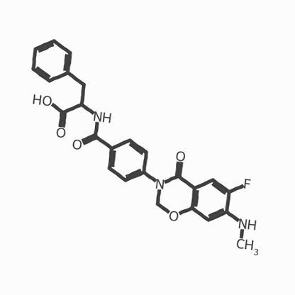 CNc1cc2c(cc1F)C(=O)N(c1ccc(C(=O)NC(Cc3ccccc3)C(=O)O)cc1)CO2